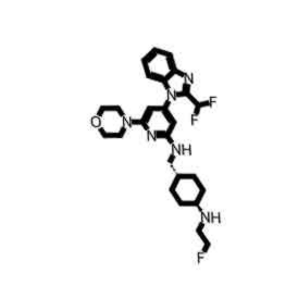 FCCN[C@H]1CC[C@H](CNc2cc(-n3c(C(F)F)nc4ccccc43)cc(N3CCOCC3)n2)CC1